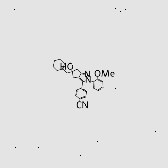 COc1ccccc1-n1nc2c(c1-c1ccc(C#N)cc1)CC(O)(CC1CCCCC1)C2